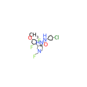 COc1cc(F)c(C2CN(CCF)CC[C@H]2NC(=O)Nc2ccc(Cl)cc2)c(F)c1